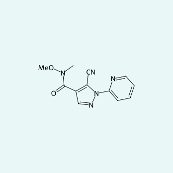 CON(C)C(=O)c1cnn(-c2ccccn2)c1C#N